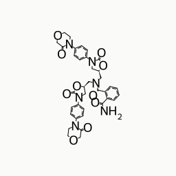 NC(=O)c1ccccc1C(=O)N(C[C@H]1CN(c2ccc(N3CCOCC3=O)cc2)C(=O)O1)C[C@H]1CN(c2ccc(N3CCOCC3=O)cc2)C(=O)O1